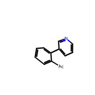 CC(=O)c1ccccc1-c1cccnc1